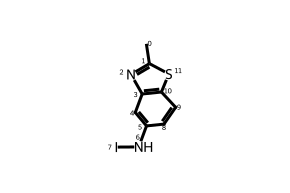 Cc1nc2cc(NI)ccc2s1